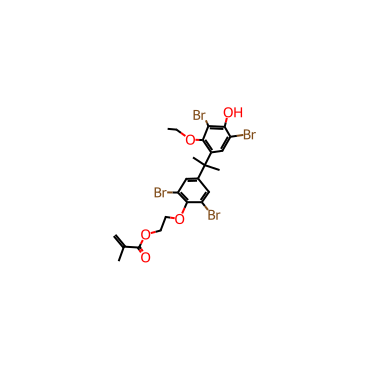 C=C(C)C(=O)OCCOc1c(Br)cc(C(C)(C)c2cc(Br)c(O)c(Br)c2OCC)cc1Br